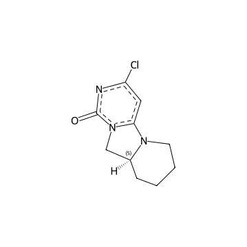 O=c1nc(Cl)cc2n1C[C@@H]1CCCCN21